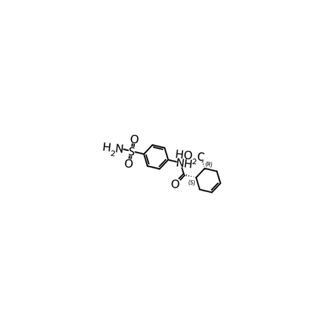 NS(=O)(=O)c1ccc(NC(=O)[C@H]2CC=CC[C@H]2C(=O)O)cc1